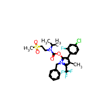 Cc1c(-c2ccc(Cl)cc2F)c(OC(=O)N(CCS(C)(=O)=O)C(C)C)n(Cc2ccccc2)c1C(F)(F)F